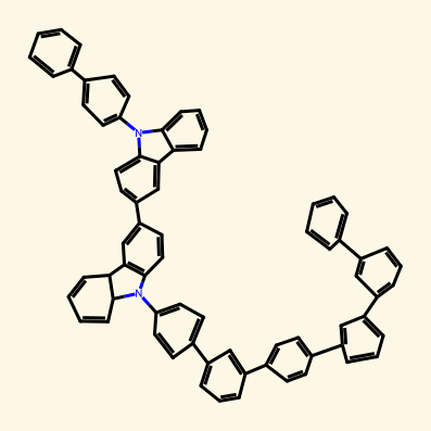 C1=CC2c3cc(-c4ccc5c(c4)c4ccccc4n5-c4ccc(-c5ccccc5)cc4)ccc3N(c3ccc(-c4cccc(-c5ccc(-c6cccc(-c7cccc(-c8ccccc8)c7)c6)cc5)c4)cc3)C2C=C1